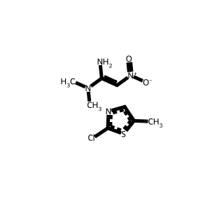 CN(C)C(N)=C[N+](=O)[O-].Cc1cnc(Cl)s1